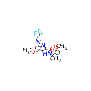 COc1cccc([C@H](C)NC(=O)c2cnc3c(N4CCC(C(F)(F)F)CC4)cc(OC)cc3c2)c1